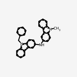 Cn1c2ccccc2c2cc(Nc3ccc4c(c3)c3ccccc3n4Cc3ccccc3)ccc21